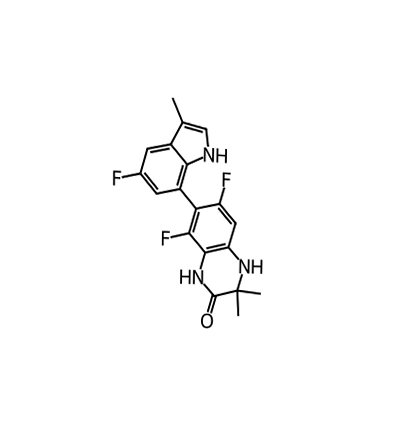 Cc1c[nH]c2c(-c3c(F)cc4c(c3F)NC(=O)C(C)(C)N4)cc(F)cc12